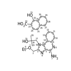 CCOCc1nc2c(N)nc3ccccc3c2n1CC(C)(C)O.O=C(O)c1ccc2ccccc2c1O